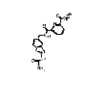 CC(C)NC(=O)c1cccc(C(=O)NCc2ccc3sc(NC(N)=O)nc3c2)n1